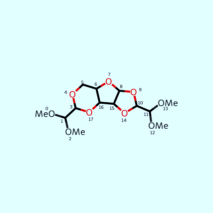 COC(OC)C1OCC2OC3OC(C(OC)OC)OC3C2O1